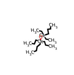 CCC[CH2][Ge]([CH2]C)([CH2]C)[O][Ge]([CH2]CC)([CH2]CC)[CH2]CCC